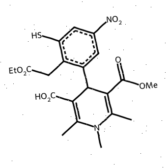 CCOC(=O)Cc1c(S)cc([N+](=O)[O-])cc1C1C(C(=O)O)=C(C)N(C)C(C)=C1C(=O)OC